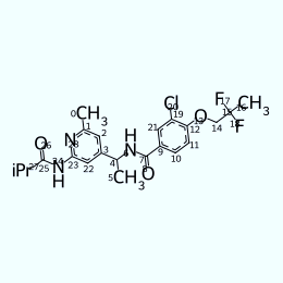 Cc1cc(C(C)NC(=O)c2ccc(OCC(C)(F)F)c(Cl)c2)cc(NC(=O)C(C)C)n1